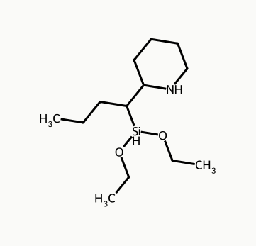 CCCC(C1CCCCN1)[SiH](OCC)OCC